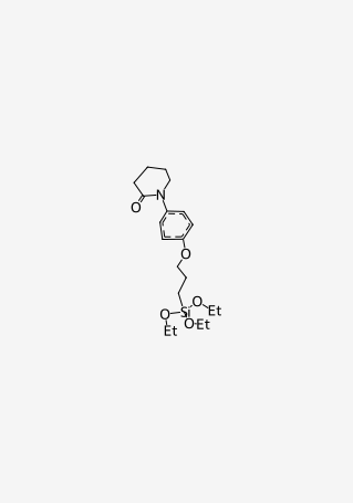 CCO[Si](CCCOc1ccc(N2CCCCC2=O)cc1)(OCC)OCC